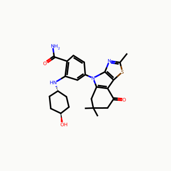 Cc1nc2c(s1)c1c(n2-c2ccc(C(N)=O)c(N[C@H]3CC[C@H](O)CC3)c2)CC(C)(C)CC1=O